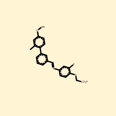 CCCOc1ccc(-c2cccc(C=Nc3ccc(OCC(=O)O)c(F)c3)c2)c(C)c1